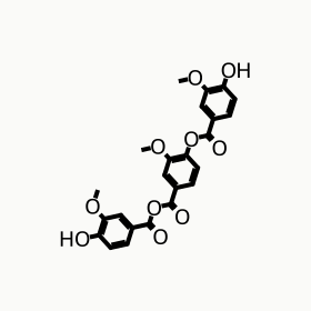 COc1cc(C(=O)OC(=O)c2ccc(OC(=O)c3ccc(O)c(OC)c3)c(OC)c2)ccc1O